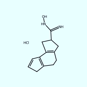 Cl.N=C(NO)C1CC2=C(C1)C1=C(CC=C1)CC2